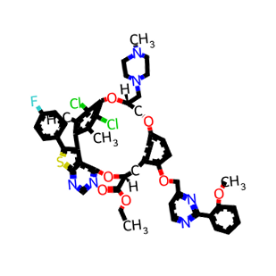 CCOC(=O)[C@H]1Cc2cc(ccc2OCc2ccnc(-c3ccccc3OC)n2)OC[C@@H](CN2CCN(C)CC2)Oc2c(Cl)c(C)c(c(C)c2Cl)-c2c(-c3ccc(F)cc3)sc3ncnc(c23)O1